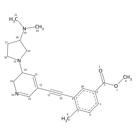 COC(=O)c1ccc(C)c(C#CC2=CC(N3CCC(N(C)C)C3)CN=C2)c1